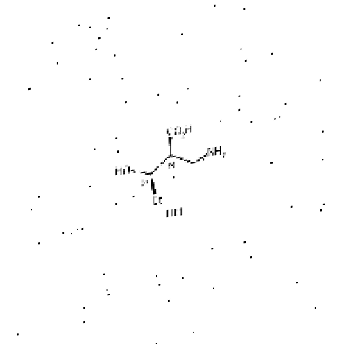 CC[C@@H](O)[C@H](CN)C(=O)O.Cl